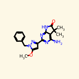 COc1cc(-c2nc(N)c3c(n2)NC(=O)C3(C)C)nn1Cc1ccccc1